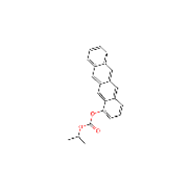 CC(C)OC(=O)Oc1cccc2cc3cc4ccccc4cc3cc12